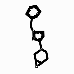 c1ccc(Cn2ccc(N3CCC4OC4C3)n2)cc1